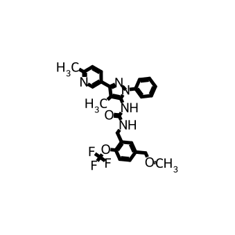 COCc1ccc(OC(F)(F)F)c(CNC(=O)Nc2c(C)c(-c3ccc(C)nc3)nn2-c2ccccc2)c1